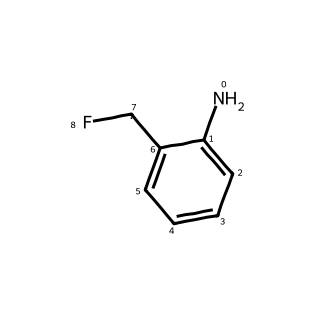 Nc1ccccc1[CH]F